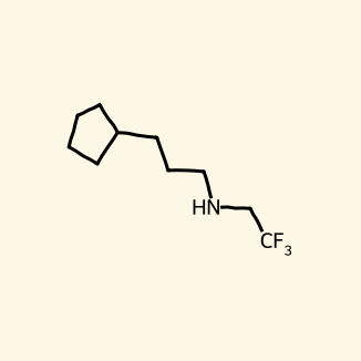 FC(F)(F)CNCCCC1CCCC1